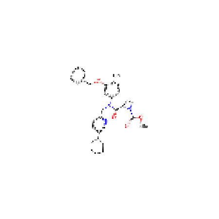 CC(C)(C)OC(=O)N1CC[C@@H]1C(=O)N(Cc1ccc(C2CCCCC2)cn1)c1ccc(C#N)c(OCc2ccccc2)c1